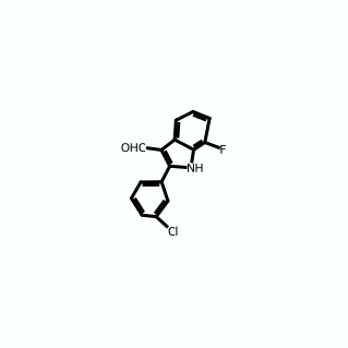 O=Cc1c(-c2cccc(Cl)c2)[nH]c2c(F)cccc12